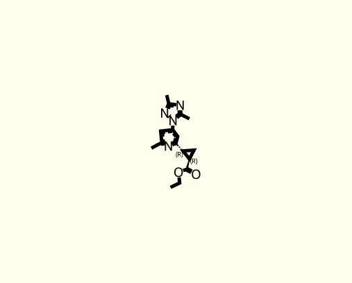 CCOC(=O)[C@@H]1C[C@H]1c1cc(-n2nc(C)nc2C)cc(C)n1